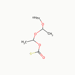 CCCCCCOC(C)OC(C)OC(=O)[S]